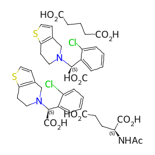 CC(=O)N[C@@H](CCC(=O)O)C(=O)O.O=C(O)CCCC(=O)O.O=C(O)[C@H](c1ccccc1Cl)N1CCc2sccc2C1.O=C(O)[C@H](c1ccccc1Cl)N1CCc2sccc2C1